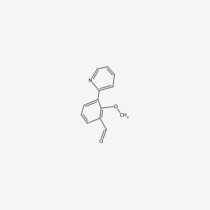 COc1c(C=O)cccc1-c1ccccn1